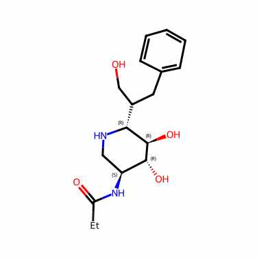 CCC(=O)N[C@H]1CN[C@H](C(CO)Cc2ccccc2)[C@@H](O)[C@@H]1O